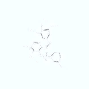 COc1cc(/C=C\c2ccc(O)c(OC)c2NS(=O)(=O)c2cccc(N)c2)cc(OC)c1OC